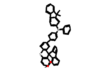 CC1(C)c2ccccc2-c2ccc(N(c3ccccc3)c3ccc(-c4ccc5c(c4)C4(c6ccccc6-c6ccccc64)c4c(ccc6ccccc46)S5)cc3)cc21